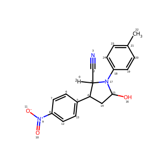 [2H]C1(C#N)C(c2ccc([N+](=O)[O-])cc2)CC(O)N1c1ccc(C)cc1